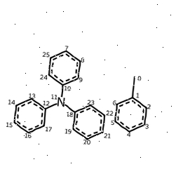 Ic1ccccc1.c1ccc(N(c2ccccc2)c2ccccc2)cc1